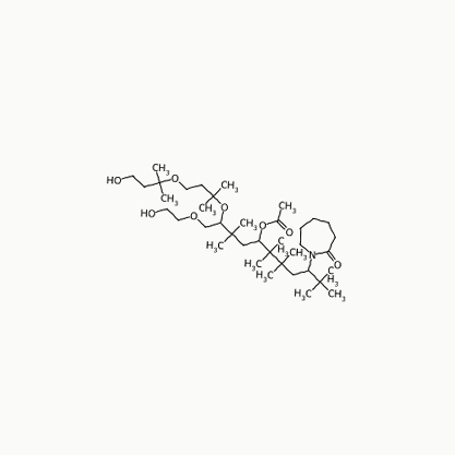 CC(=O)OC(CC(C)(C)C(COCCO)OC(C)(C)CCOC(C)(C)CCO)C(C)(C)C(C)(C)CC(N1CCCCCC1=O)C(C)(C)C